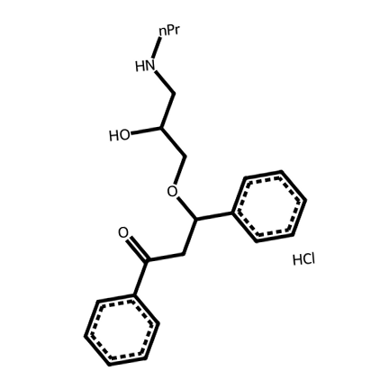 CCCNCC(O)COC(CC(=O)c1ccccc1)c1ccccc1.Cl